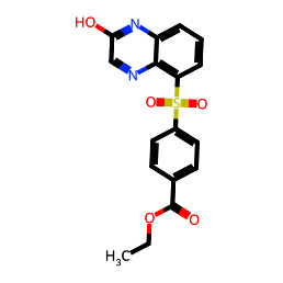 CCOC(=O)c1ccc(S(=O)(=O)c2cccc3nc(O)cnc23)cc1